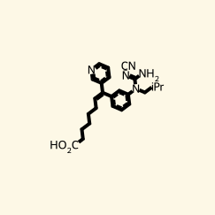 CC(C)CN(C(N)=NC#N)c1cccc(/C(=C\CCCCCC(=O)O)c2cccnc2)c1